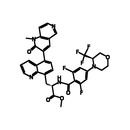 COC(=O)[C@H](Cc1ccc(-c2cc3cnccc3n(C)c2=O)c2cccnc12)NC(=O)c1c(F)cc(N2CCOC[C@@H]2C(F)(F)F)cc1F